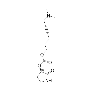 CN(C)CC#CCCCOC(=O)O[C@@H]1CCNC1=O